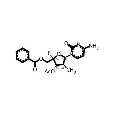 CC(=O)O[C@H]1[C@H](C)[C@H](n2ccc(N)nc2=O)O[C@]1(F)COC(=O)c1ccccc1